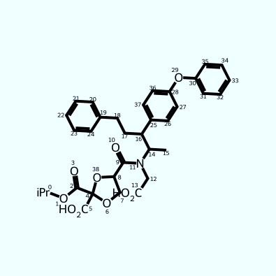 CC(C)OC(=O)C1(C(=O)O)OCC(C(=O)N(CC(=O)O)C(C)C(CCc2ccccc2)c2ccc(Oc3ccccc3)cc2)O1